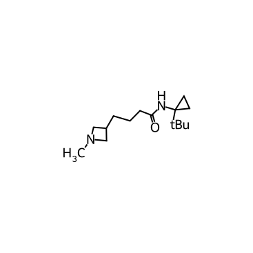 CN1CC(CCCC(=O)NC2(C(C)(C)C)CC2)C1